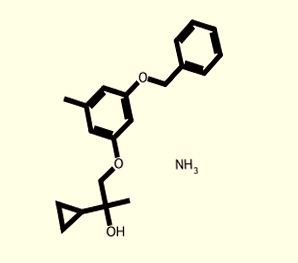 Cc1cc(OCc2ccccc2)cc(OCC(C)(O)C2CC2)c1.N